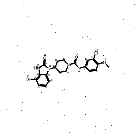 COc1ccc(NC(=O)N2CCC(n3c(=O)[nH]c4c(Br)cccc43)CC2)cc1Cl